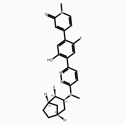 CN(c1ccc(-c2cc(F)c(-c3ccn(C)c(=O)c3)cc2O)nn1)[C@H]1C[C@@H]2CC[C@@H](C2)[C@H]1F